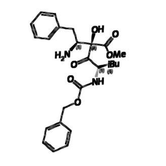 CC[C@H](C)[C@H](NC(=O)OCc1ccccc1)C(=O)[C@@](O)(C(=O)OC)[C@@H](N)Cc1ccccc1